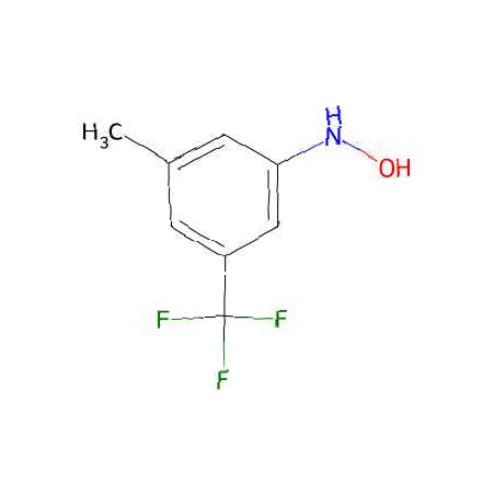 Cc1cc(NO)cc(C(F)(F)F)c1